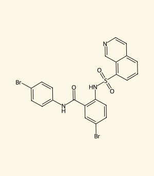 O=C(Nc1ccc(Br)cc1)c1cc(Br)ccc1NS(=O)(=O)c1cccc2ccncc12